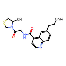 COCCc1ccc2nccc(C(=O)NCC(=O)N3CSCC3C#N)c2c1